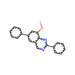 IOc1cc(-c2ccccc2)cc2cnc(-c3ccccc3)nc12